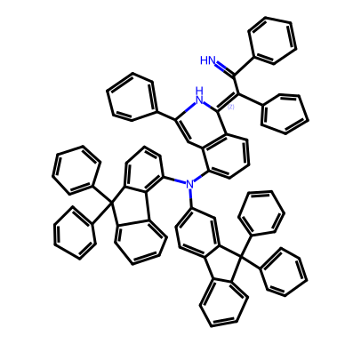 N=C(/C(=C1\NC(c2ccccc2)=Cc2c1cccc2N(c1ccc2c(c1)C(c1ccccc1)(c1ccccc1)c1ccccc1-2)c1cccc2c1-c1ccccc1C2(c1ccccc1)c1ccccc1)c1ccccc1)c1ccccc1